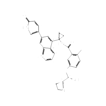 Cc1ccc(O[C@@H]([SiH3])[C@@H]2CCN2)cc1C(=O)NC1(c2cc(-c3ccc(=O)[nH]c3)cc3ncccc23)CC1